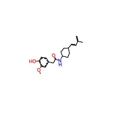 C=C(C)C=CC1CCC(NC(=O)Cc2ccc(O)c(OC)c2)CC1